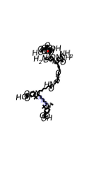 CCN1/C(=C/C=C/C=C/C2=[N+](CCCCCC(=O)NCC(C)(C)SSCOCC#Cc3cn([C@H]4CC(ON)[C@@H](COP(=O)(O)OP(=O)(O)OP(=O)(O)O)O4)c4nc(N)[nH]c(=O)c34)c3ccc(S(=O)(=O)O)cc3C2(C)C)C(C)(C)c2cc(S(=O)(=O)O)ccc21